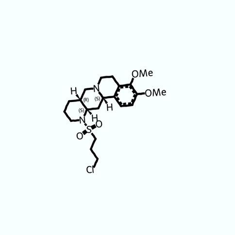 COc1ccc2c(c1OC)CCN1C[C@H]3CCCN(S(=O)(=O)CCCCl)[C@H]3C[C@@H]21